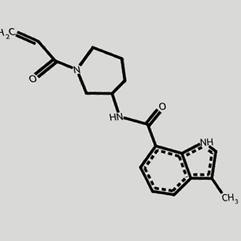 C=CC(=O)N1CCCC(NC(=O)c2cccc3c(C)c[nH]c23)C1